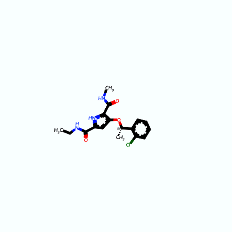 CCNC(=O)c1cc(O[C@@H](C)c2ccccc2Cl)c(C(=O)NC)[nH]1